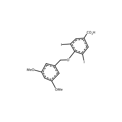 COc1cc(COc2c(I)cc(C(=O)O)cc2I)cc(OC)c1